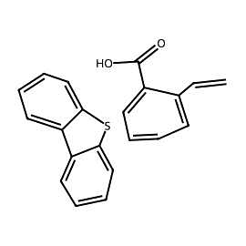 C=Cc1ccccc1C(=O)O.c1ccc2c(c1)sc1ccccc12